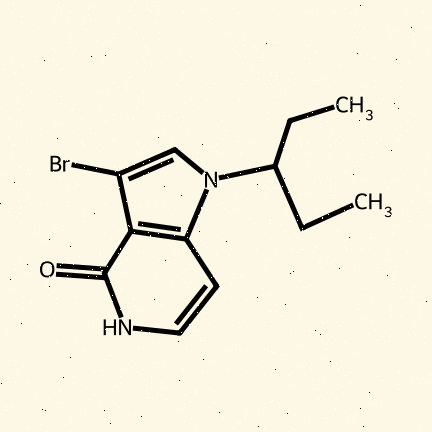 CCC(CC)n1cc(Br)c2c(=O)[nH]ccc21